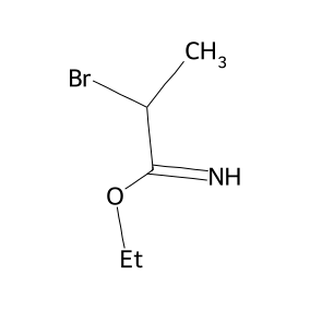 CCOC(=N)C(C)Br